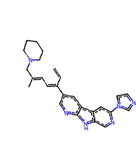 C=C/C(=C\C=C(/C)CN1CCCCC1)c1cnc2[nH]c3cnc(-n4ccnc4)cc3c2c1